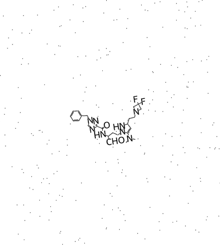 CN(C)C1=CC(CCN2CC(F)(F)C2)NN1CCC(C=O)NC(=O)c1ncn(Cc2ccccc2)n1